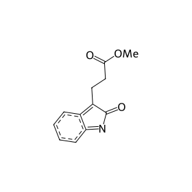 COC(=O)CCC1=c2ccccc2=NC1=O